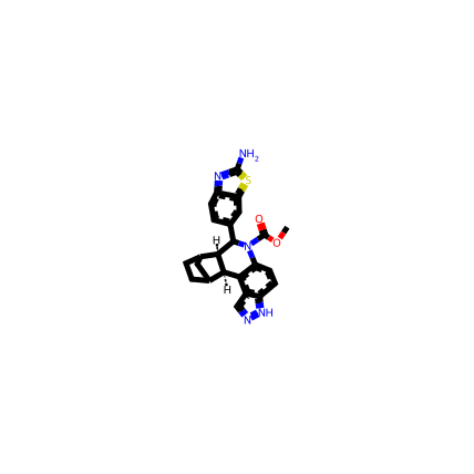 COC(=O)N1c2ccc3[nH]ncc3c2[C@H]2C3CCC(C3)[C@H]2C1c1ccc2nc(N)sc2c1